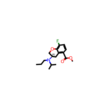 CCCN(C(C)C)[C@H]1COc2c(F)ccc(C(=O)OC)c2C1